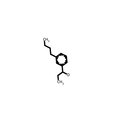 CCCCc1cccc(C([O])CC)c1